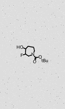 CC(C)(C)OC(=O)N1CCCC(O)C(F)C1